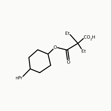 CCCC1CCC(OC(=O)C(CC)(CC)C(=O)O)CC1